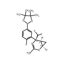 CC1(C)OB(c2ccc(F)c([C@@]3(C(F)F)N=C(N)O[C@@H]4C[C@@H]43)c2)OC1(C)C